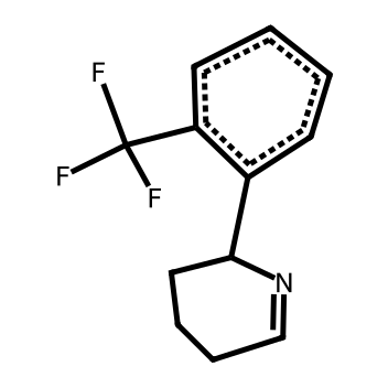 FC(F)(F)c1ccccc1C1CCCC=N1